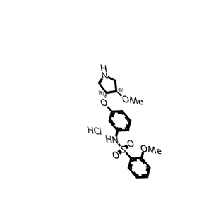 COc1ccccc1S(=O)(=O)Nc1cccc(O[C@@H]2CNC[C@H]2OC)c1.Cl